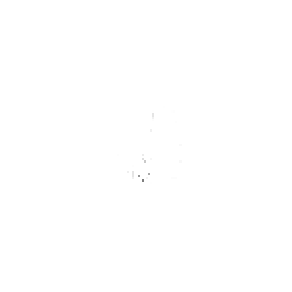 O=C1Nc2ccc(-c3ccccc3)cc2C12NN=C(Cl)S2